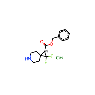 Cl.O=C(OCc1ccccc1)[C@H]1C(F)(F)C12CCNCC2